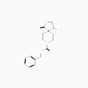 O=C(OCc1ccccc1)N1CCC2(CC1)C(=O)NCC2O